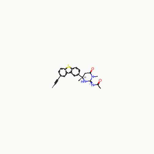 CC#Cc1ccc2sc3ccc([C@]4(C)CC(=O)N(C)/C(=N\C(C)=O)N4)cc3c2c1